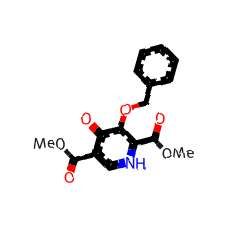 COC(=O)c1[nH]cc(C(=O)OC)c(=O)c1OCc1ccccc1